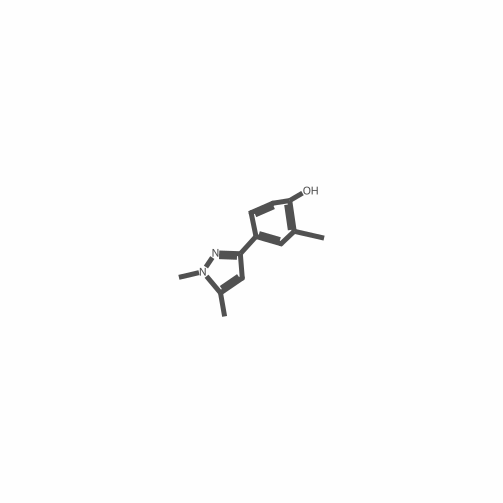 Cc1cc(-c2cc(C)n(C)n2)ccc1O